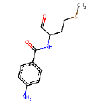 CSCCC(C=O)NC(=O)c1ccc(N)cc1